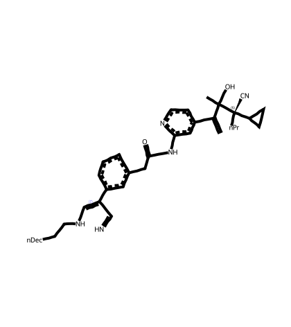 C=C(c1ccnc(NC(=O)Cc2cccc(/C(C=N)=C/NCCCCCCCCCCCC)c2)c1)C(C)(O)[C@@](C#N)(CCC)C1CC1